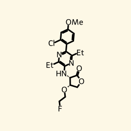 CCc1nc(-c2ccc(OC)cc2Cl)c(CC)nc1N[C@@H]1C(=O)OC[C@@H]1OCCF